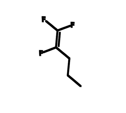 CCCC(F)=C(F)F